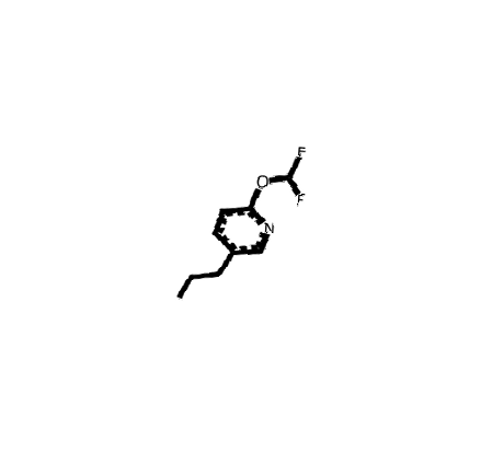 CCCc1ccc(OC(F)F)nc1